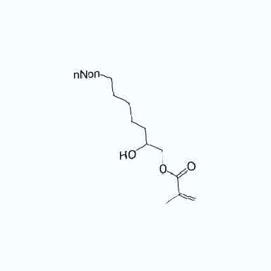 C=C(C)C(=O)OCC(O)CCCCCCCCCCCCCC